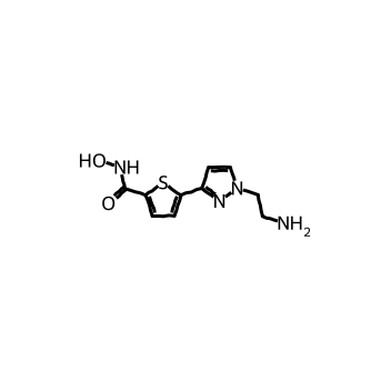 NCCn1ccc(-c2ccc(C(=O)NO)s2)n1